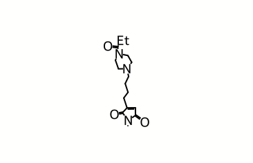 CCC(=O)N1CCN(CCCCC2=CC(=O)N(C)C2=O)CC1